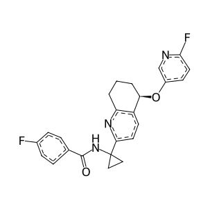 O=C(NC1(c2ccc3c(n2)CCC[C@H]3Oc2ccc(F)nc2)CC1)c1ccc(F)cc1